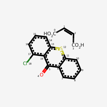 O=C(O)/C=C\C(=O)O.O=c1c2ccccc2sc2cccc(Cl)c12